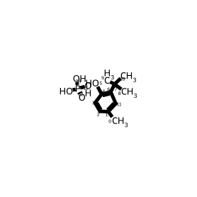 Cc1ccc(O)c(C(C)(C)C)c1.O=P(O)(O)O